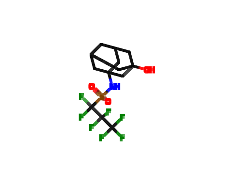 O=S(=O)(NC12CC3CC(CC(O)(C3)C1)C2)C(F)(F)C(F)(F)C(F)(F)F